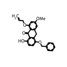 C=CCOc1cc(OC)cc2c1C(=O)c1c(O)ccc(OCc3ccccc3)c1C2